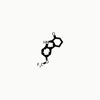 O=C1CCCc2c1[nH]c1ccc(OC(F)(F)F)cc21